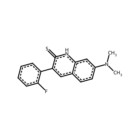 CN(C)c1ccc2cc(-c3ccccc3F)c(=S)[nH]c2c1